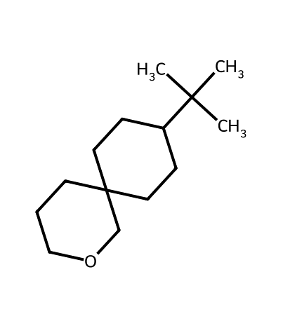 CC(C)(C)C1CCC2(CCCOC2)CC1